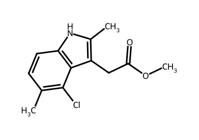 COC(=O)Cc1c(C)[nH]c2ccc(C)c(Cl)c12